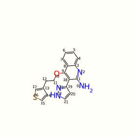 Nc1nc2ccccc2c(OCCc2ccsc2)c1-c1cc[nH]n1